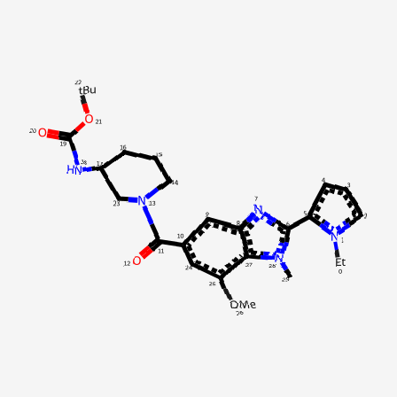 CCn1cccc1-c1nc2cc(C(=O)N3CCCC(NC(=O)OC(C)(C)C)C3)cc(OC)c2n1C